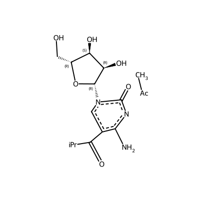 CC(C)=O.CC(C)C(=O)c1cn([C@@H]2O[C@H](CO)[C@@H](O)[C@H]2O)c(=O)nc1N